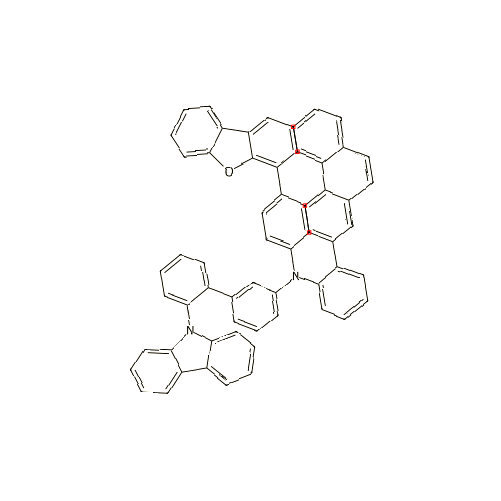 c1cc(-c2ccccc2-n2c3ccccc3c3ccccc32)cc(N(c2ccc(-c3cccc4c3oc3ccccc34)cc2)c2ccccc2-c2ccc3c(ccc4ccccc43)c2)c1